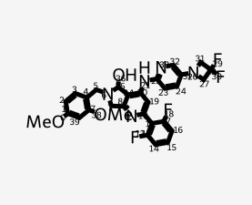 COc1ccc(CN2Cc3nc(-c4c(F)cccc4F)cc(Nc4ccc(N5CC(F)(F)C5)cn4)c3C2O)c(OC)c1